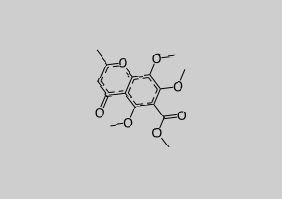 COC(=O)c1c(OC)c(OC)c2oc(C)cc(=O)c2c1OC